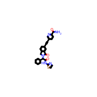 NC(=O)c1ccc(C#Cc2ccc3c(c2)C(=O)N(C(C(=O)Nc2nccs2)c2ccccc2)C3)cn1